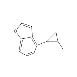 CC1CC1c1cccc2occc12